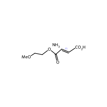 COCCOC(=O)/C=C/C(=O)O.N